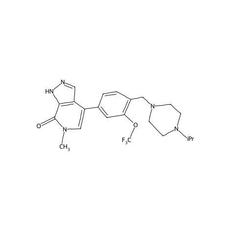 CC(C)N1CCN(Cc2ccc(-c3cn(C)c(=O)c4[nH]ncc34)cc2OC(F)(F)F)CC1